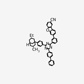 CC[C@H]1C[C@H]2C[C@@H](C)CC(c3ccc(-c4nc(-c5ccc(-c6ccccc6)cc5)nc(-c5cccc(-c6ccc7c(c6)oc6ccc(C#N)cc67)c5)n4)cc3)(C2)C1